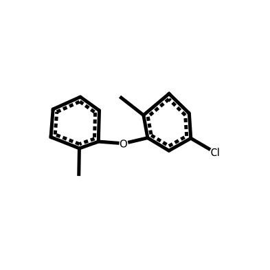 Cc1ccccc1Oc1cc(Cl)ccc1C